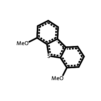 COc1cccc2c1sc1c(OC)cccc12